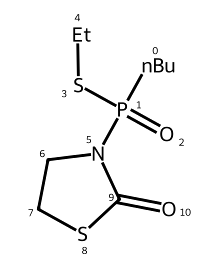 CCCCP(=O)(SCC)N1CCSC1=O